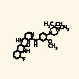 COc1cc(Nc2nccc(Nc3cc4cccc(F)c4[nH]c3=O)n2)ccc1N1CCN(C)C(C)(C)C1